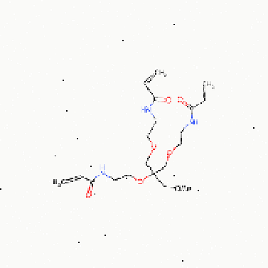 C=CC(=O)NCCOCC(COC)(COCCNC(=O)C=C)OCCNC(=O)C=C